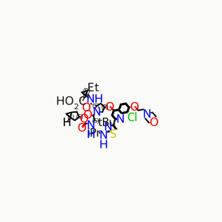 CC[C@@H]1C[C@]1(NC(=O)[C@@H]1C[C@@H](Oc2cc(-c3csc(NC(C)C)n3)nc3c(Cl)c(OCCN4CCOCC4)ccc23)CN1C(=O)[C@@H](NC(=O)O[C@H]1CC2C[C@H]2C1)C(C)(C)C)C(=O)O